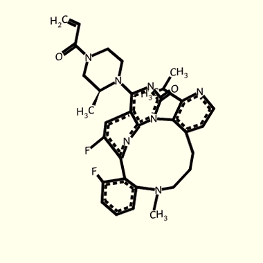 C=CC(=O)N1CCN(c2nc(=O)n3c4nc(c(F)cc24)-c2c(F)cccc2N(C)CCCc2ccnc(C(C)C)c2-3)[C@@H](C)C1